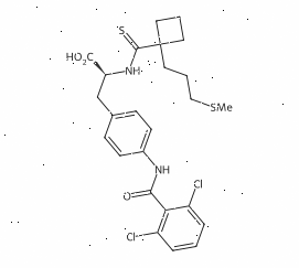 CSCCCC1(C(=S)N[C@@H](Cc2ccc(NC(=O)c3c(Cl)cccc3Cl)cc2)C(=O)O)CCC1